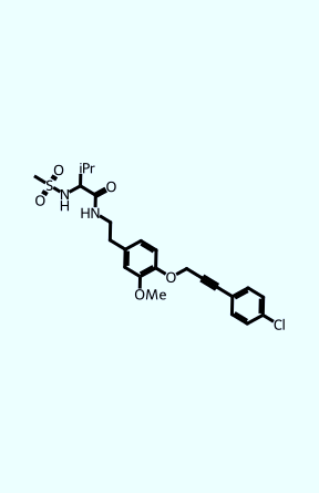 COc1cc(CCNC(=O)C(NS(C)(=O)=O)C(C)C)ccc1OCC#Cc1ccc(Cl)cc1